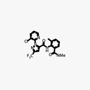 CNC(=O)c1cccc(C)c1NC(=O)c1cc(C(F)(F)F)nn1-c1ncccc1Cl